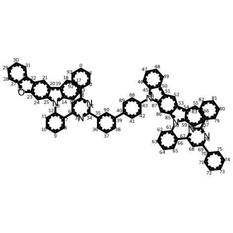 c1ccc(-c2cc(-c3ccccc3-n3c4ccccc4c4cc5c(cc43)oc3ccccc35)nc(-c3cccc(-c4ccc(-n5c6ccccc6c6cc7c8ccccc8n(-c8ccccc8-c8cc(-c9ccccc9)nc(-c9ccccc9)n8)c7cc65)cc4)c3)n2)cc1